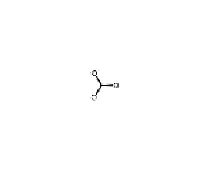 [O]C([O])Cl